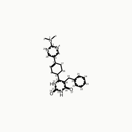 CN(C)c1ncc(C2=CCC(c3[nH]c(=O)[nH]c(=O)c3Cc3ccccc3)CC2)cn1